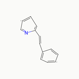 [c]1ccc(C=Cc2cc[c]cn2)cc1